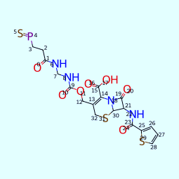 O=C(CCP=S)NCNC(=O)OCC1=C(C(=O)O)N2C(=O)C(NC(=O)c3cccs3)C2SC1